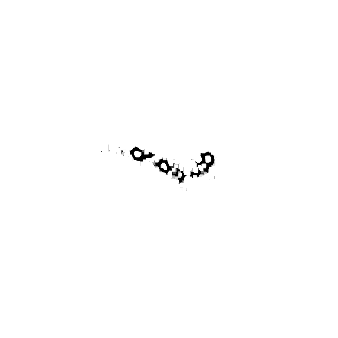 COc1ccc(C(=O)Nc2ccc(S(=O)(=O)N[C@H](CCCN3C(=O)c4ccccc4C3=O)C(=O)O)cc2)cc1